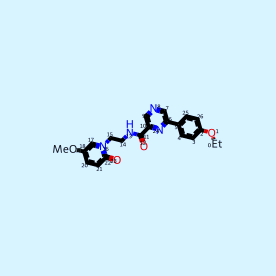 CCOc1ccc(-c2cncc(C(=O)NCCn3cc(OC)ccc3=O)n2)cc1